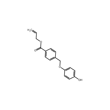 C=CCOC(=O)c1ccc(COc2ccc(O)cc2)cc1